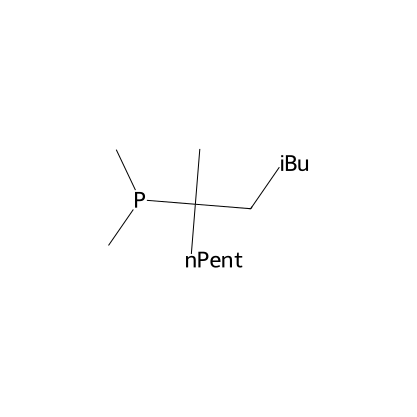 CCCCCC(C)(CC(C)CC)P(C)C